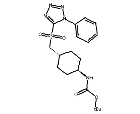 CC(C)(C)OC(=O)N[C@H]1CC[C@H](CS(=O)(=O)c2nnnn2-c2ccccc2)CC1